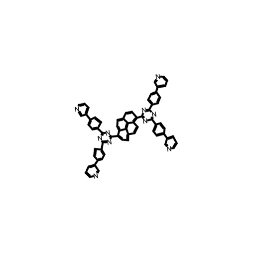 c1cncc(-c2ccc(-c3nc(-c4ccc(-c5cccnc5)cc4)nc(-c4ccc5ccc6c(-c7nc(-c8ccc(-c9cccnc9)cc8)nc(-c8ccc(-c9cccnc9)cc8)n7)ccc7ccc4c5c76)n3)cc2)c1